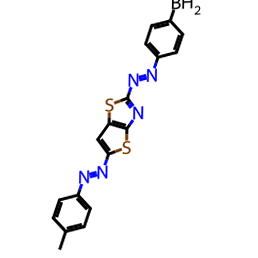 Bc1ccc(N=Nc2nc3sc(N=Nc4ccc(C)cc4)cc3s2)cc1